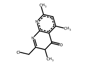 Cc1cc(C)c2c(n1)N=C(CCl)C(C)C2=O